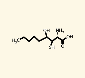 CCCCCC(O)C(S)[C@H](N)C(=O)O